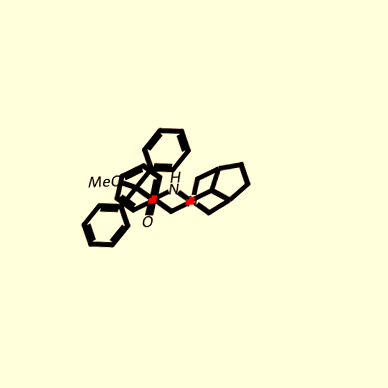 COC(C(=O)NCC1C2CCC1CN(Cc1ccccc1)C2)(c1ccccc1)c1ccccc1